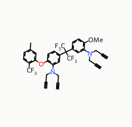 C#CCN(CC#C)c1cc(C(c2ccc(Oc3cc(C)ccc3C(F)(F)F)c(N(CC#C)CC#C)c2)(C(F)(F)F)C(F)(F)F)ccc1OC